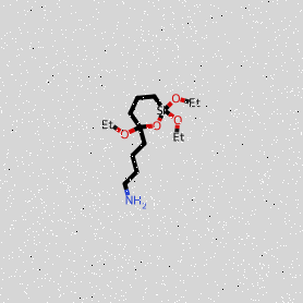 CCOC1(CCCCN)CCC[Si](OCC)(OCC)O1